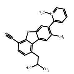 Cc1cc2c(cc1-c1cccc[n+]1C)oc1c(C#N)ccc(CC(C)C)c12